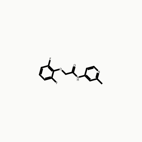 Cc1cc(NC(=O)COc2c(F)cccc2F)ccn1